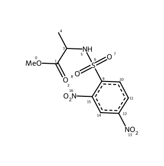 COC(=O)C(C)NS(=O)(=O)c1ccc([N+](=O)[O-])cc1[N+](=O)[O-]